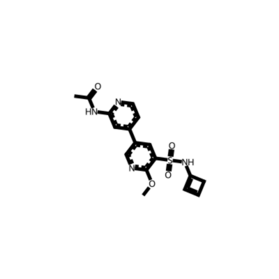 COc1ncc(-c2ccnc(NC(C)=O)c2)cc1S(=O)(=O)NC1=C=CC1